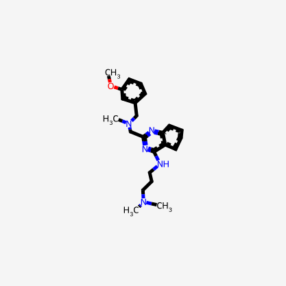 COc1cccc(CN(C)Cc2nc(NCCCN(C)C)c3ccccc3n2)c1